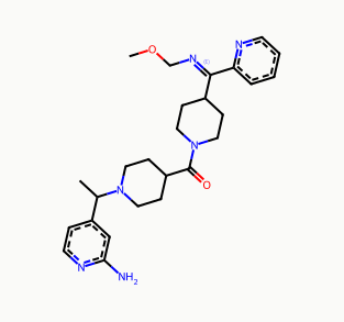 COC/N=C(/c1ccccn1)C1CCN(C(=O)C2CCN(C(C)c3ccnc(N)c3)CC2)CC1